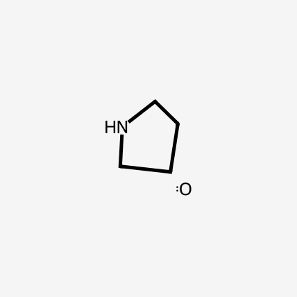 C1CCNC1.[O]